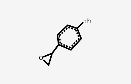 CCCc1ccc(C2CO2)cc1